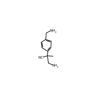 CC(C#N)(CN)c1ccc(CN)cc1